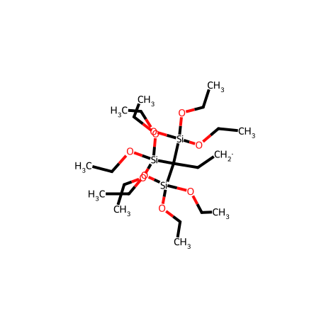 [CH2]CC([Si](OCC)(OCC)OCC)([Si](OCC)(OCC)OCC)[Si](OCC)(OCC)OCC